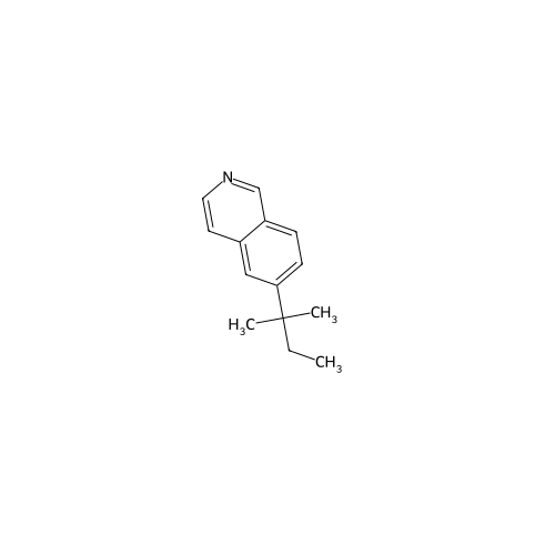 CCC(C)(C)c1ccc2cnccc2c1